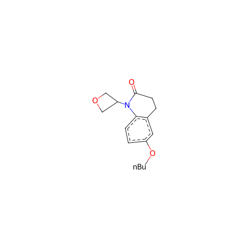 CCCCOc1ccc2c(c1)CCC(=O)N2C1COC1